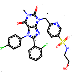 Cn1c(=O)c2c(nc(-c3ccccc3Cl)n2-c2ccc(Cl)cc2)n(Cc2ccc(S(=O)(=O)NCCO)cn2)c1=O